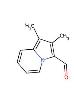 Cc1c(C)c2ccccn2c1C=O